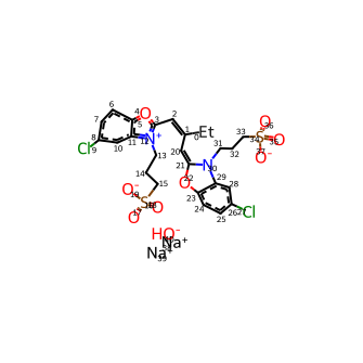 CCC(=Cc1oc2ccc(Cl)cc2[n+]1CCCS(=O)(=O)[O-])C=C1Oc2ccc(Cl)cc2N1CCCS(=O)(=O)[O-].[Na+].[Na+].[OH-]